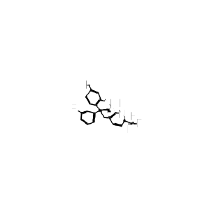 O=C1Nc2cc(F)ccc2C1(Cc1ccc(C(F)(F)F)nc1)c1cccc(F)c1